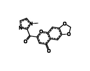 Cn1ccnc1C(=O)c1cc(=O)c2cc3c(cc2o1)OCO3